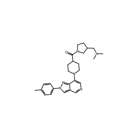 Cc1ccc(-n2cc3cncc(N4CCC(C(=O)N5CCC(CN(C)C)C5)CC4)c3n2)cc1